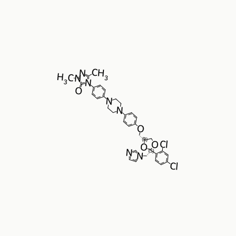 Cc1nn(C)c(=O)n1-c1ccc(N2CCN(c3ccc(OC[C@@H]4CO[C@@](Cn5ccnc5)(c5ccc(Cl)cc5Cl)O4)cc3)CC2)cc1